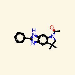 CC(=O)N1CC(C)(C)c2cc3nc(-c4ccccc4)[nH]c3cc21